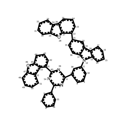 c1ccc(-c2nc(-c3cccc(-n4c5ccccc5c5cc(-c6cccc7c6oc6ccccc67)ccc54)c3)nc(-c3cccc4oc5ccccc5c34)n2)cc1